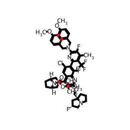 COc1ccc(CN(Cc2ccc(OC)cc2)c2nc(-c3c(Cl)cc4c(N5C[C@H]6CC[C@@H](C5)N6C(=O)OC(C)(C)C)nc(OC[C@@]56CCCN5C[C@H](F)C6)nc4c3F)c(C(F)(F)F)c(C)c2F)cc1